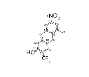 Cc1cc([N+](=O)[O-])cc(C)c1Cc1ccc(O)c(C(F)(F)F)c1